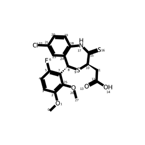 COc1ccc(F)c([C@H]2S[C@H](CC(=O)O)C(=S)Nc3ccc(Cl)cc32)c1OC